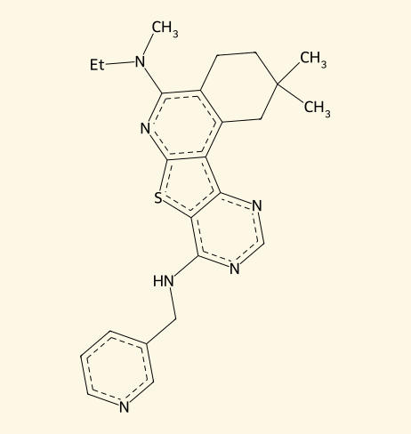 CCN(C)c1nc2sc3c(NCc4cccnc4)ncnc3c2c2c1CCC(C)(C)C2